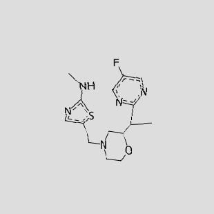 CNc1ncc(CN2CCOC(C(C)c3ncc(F)cn3)C2)s1